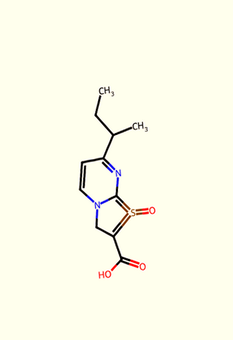 CCC(C)C1=NC2=S(=O)=C(C(=O)O)CN2C=C1